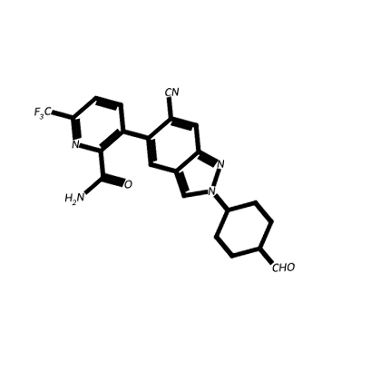 N#Cc1cc2nn(C3CCC(C=O)CC3)cc2cc1-c1ccc(C(F)(F)F)nc1C(N)=O